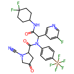 N#CN1CC(=O)CC1C(=O)N(c1ccc(S(F)(F)(F)(F)F)cc1)C(C(=O)NC1CCC(F)(F)CC1)c1cncc(F)c1